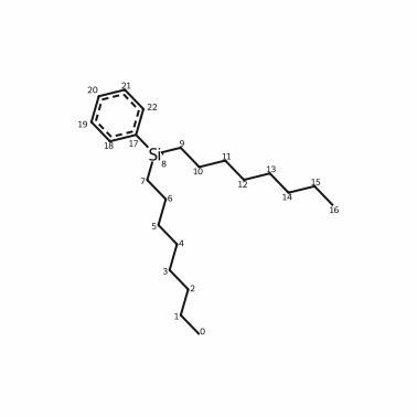 CCCCCCCC[Si](CCCCCCCC)c1ccccc1